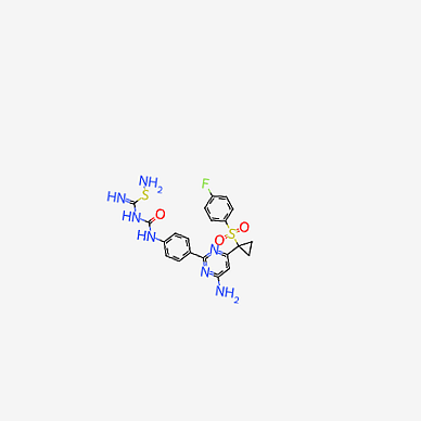 N=C(NC(=O)Nc1ccc(-c2nc(N)cc(C3(S(=O)(=O)c4ccc(F)cc4)CC3)n2)cc1)SN